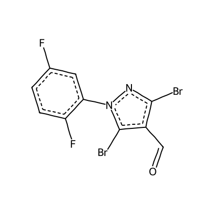 O=Cc1c(Br)nn(-c2cc(F)ccc2F)c1Br